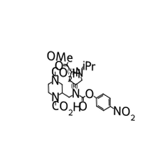 COC(=O)[C@@H]1C[C@@H](N(CC2CN(C(=O)O)CCN2C(=O)O)C(=O)Oc2ccc([N+](=O)[O-])cc2)CN1C(C)C